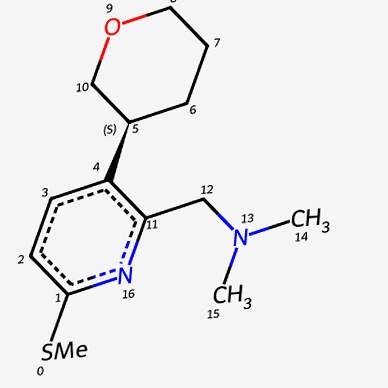 CSc1ccc([C@@H]2CCCOC2)c(CN(C)C)n1